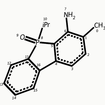 Cc1ccc2c(c1N)P(=O)(C(C)C)c1ccccc1-2